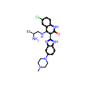 CC[C@H](N)CNc1c(-c2nc3cc(N4CCN(C)CC4)ccc3[nH]2)c(=O)[nH]c2ccc(Cl)cc12